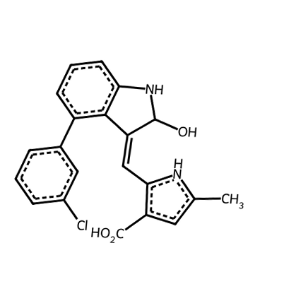 Cc1cc(C(=O)O)c(C=C2c3c(cccc3-c3cccc(Cl)c3)NC2O)[nH]1